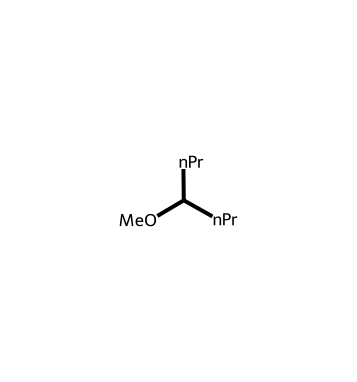 [CH2]CCC(CCC)OC